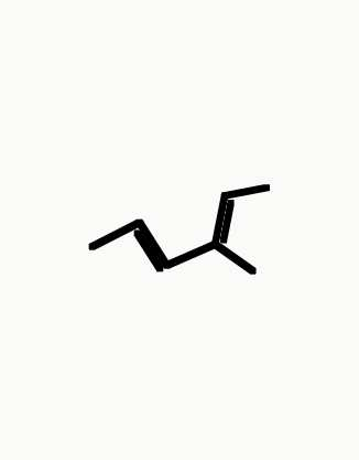 CC=CC(C)=CC